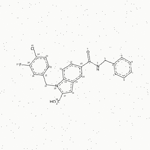 O=C(NCc1ccccc1)c1ccc2c(c1)cc(C(=O)O)n2Cc1ccc(Cl)c(F)c1